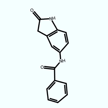 O=C1Cc2cc(NC(=O)c3ccccc3)ccc2N1